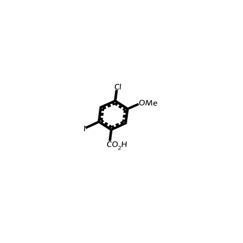 COc1cc(C(=O)O)c(I)cc1Cl